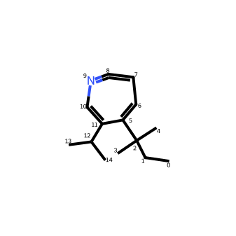 CCC(C)(C)C1=CC=C=NC=C1C(C)C